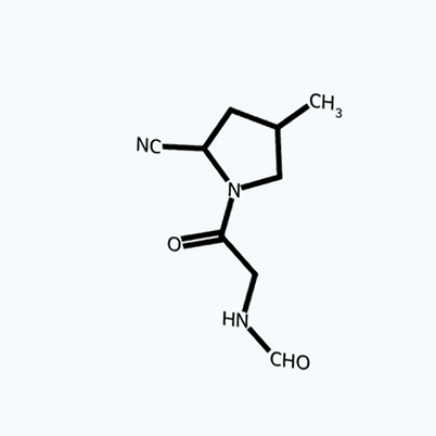 CC1CC(C#N)N(C(=O)CNC=O)C1